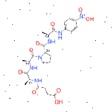 C[C@H](NC(=O)CCC(=O)O)C(=O)N[C@@H](C)C(=O)N1CCC[C@H]1C(=O)N[C@@H](C)C(=O)Nc1ccc([N+](=O)O)cc1